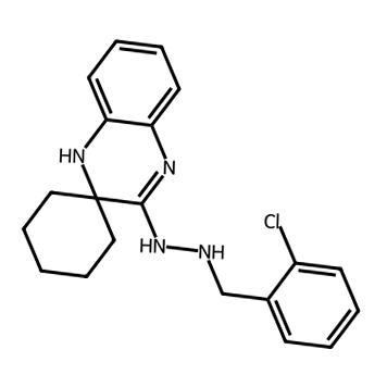 Clc1ccccc1CNNC1=Nc2ccccc2NC12CCCCC2